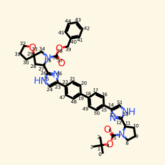 CC(C)(C)OC(=O)N1CCCC1c1nc(-c2ccc(-c3ccc(-c4c[nH]c(C5CC6(CCCO6)CN5C(=O)OCc5ccccc5)n4)cc3)cc2)c[nH]1